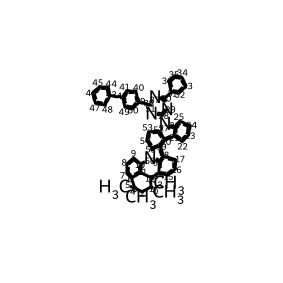 CC1CC(C)(C)c2cccc3c2C1(C)c1cccc2c4c5c6ccccc6n(-c6nc(-c7ccccc7)nc(-c7ccc(-c8ccccc8)cc7)n6)c5ccc4n-3c12